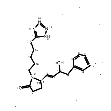 O=C1CC[C@H](C=CC(O)Cc2ccccc2)N1CCCCSc1nnn[nH]1